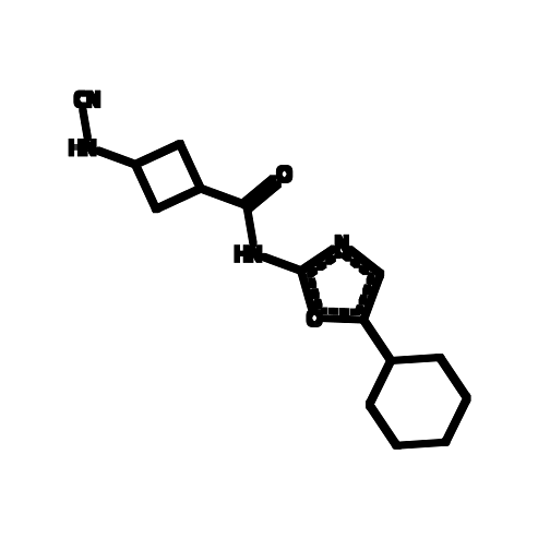 N#CNC1CC(C(=O)Nc2ncc(C3CCCCC3)o2)C1